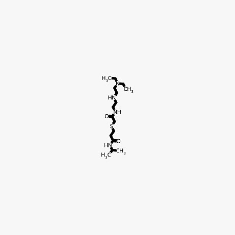 CCN(CC)CCNCCNC(=O)CSCCC(=O)NC(C)C